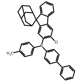 Cc1ccc(N(c2ccc(-c3ccccc3)cc2)c2cc3c(cc2Cl)-c2ccccc2C32C3CC4CC(C3)CC2C4)cc1